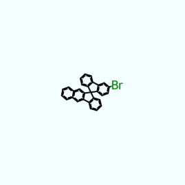 Brc1ccc2c(c1)-c1ccccc1C21c2ccccc2-c2cc3ccccc3cc21